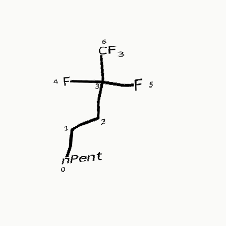 CCCCCCCC(F)(F)C(F)(F)F